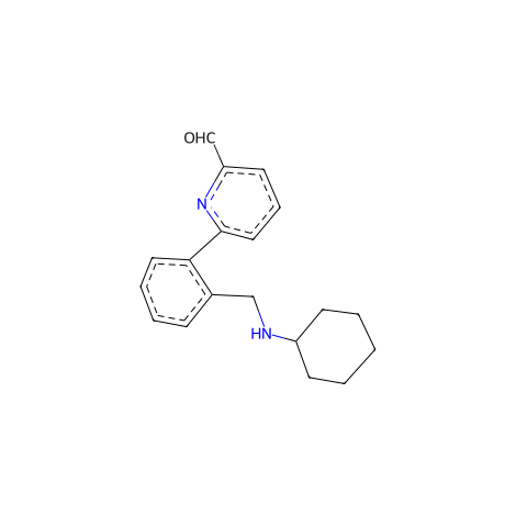 O=Cc1cccc(-c2ccccc2CNC2CCCCC2)n1